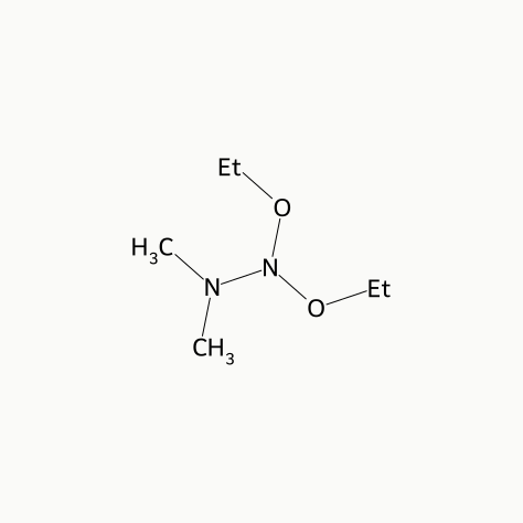 CCON(OCC)N(C)C